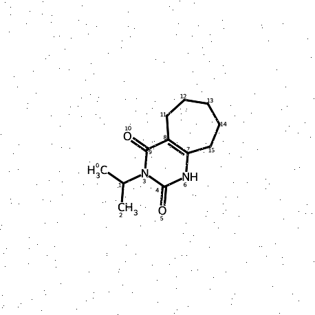 CC(C)n1c(=O)[nH]c2c(c1=O)CCCCC2